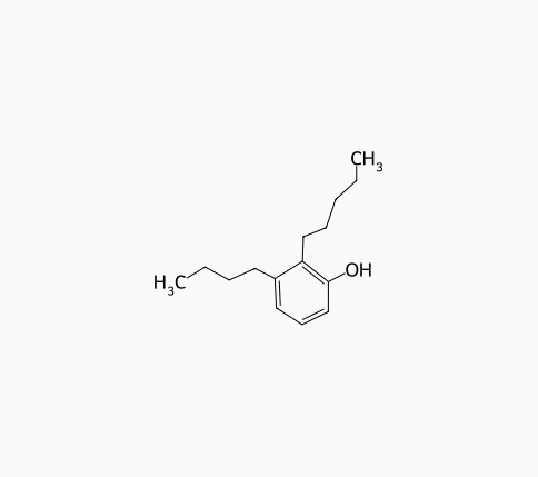 CCCCCc1c(O)cccc1CCCC